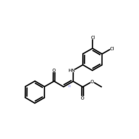 COC(=O)/C(=C/C(=O)c1ccccc1)Nc1ccc(Cl)c(Cl)c1